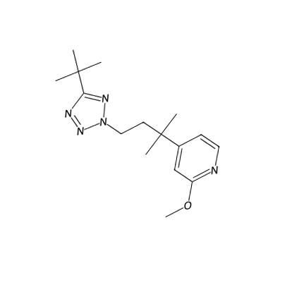 COc1cc(C(C)(C)CCn2nnc(C(C)(C)C)n2)ccn1